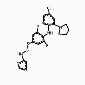 Cc1ccc(Nc2c(F)cc(SSNc3cscn3)cc2F)c(N2CCCC2)c1